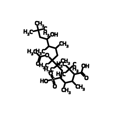 CC(=O)OC(C)(CC(C)C(C)C(O)CC(C)(C)C)C(C)(C)CC(C(C)C(C)C(C(=O)O)C(C)(C)C)S(=O)(=O)O